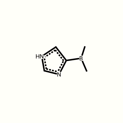 CB(C)c1c[nH]cn1